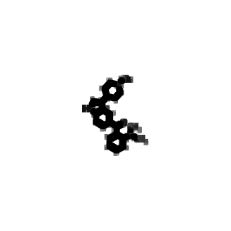 CCC(C)N1CCC(c2c[nH]c3ccc(C(=O)c4ccccc4N(C)C)cc23)CC1